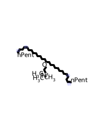 CCCCC/C=C\C/C=C\CCCCCCCCC(CCCCCCCC/C=C\C/C=C\CCCCC)OCCC[N+](C)(C)C